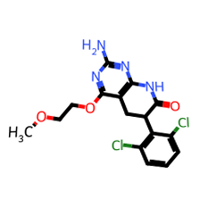 COCCOc1nc(N)nc2c1CC(c1c(Cl)cccc1Cl)C(=O)N2